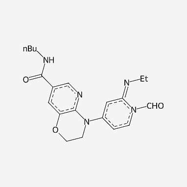 CCCCNC(=O)c1cnc2c(c1)OCCN2c1ccn(C=O)/c(=N\CC)c1